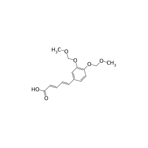 COCOc1ccc(C=CC=CC(=O)O)cc1OCOC